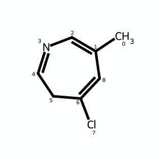 CC1=CN=CCC(Cl)=C1